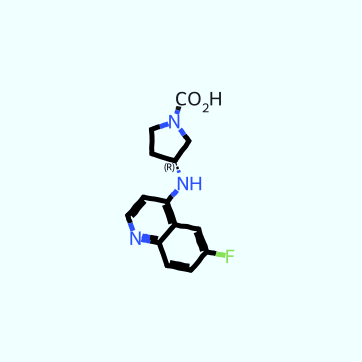 O=C(O)N1CC[C@@H](Nc2ccnc3ccc(F)cc23)C1